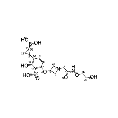 O=C(CN1CC(Oc2ccc(C3C[C@H]3B(O)O)c(O)c2C(=O)O)C1)NOCCO